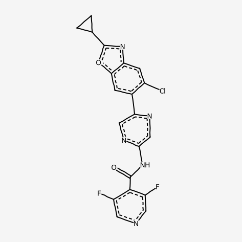 O=C(Nc1cnc(-c2cc3oc(C4CC4)nc3cc2Cl)cn1)c1c(F)cncc1F